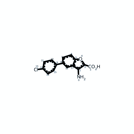 Nc1c(C(=O)O)oc2ccc(-c3ccc(Cl)cc3)cc12